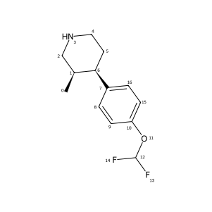 C[C@H]1CNCC[C@H]1c1ccc(OC(F)F)cc1